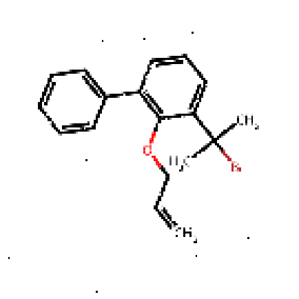 C=CCOc1c(-c2ccccc2)cccc1C(C)(C)Br